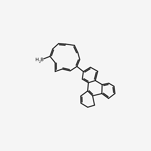 BC1=C/C=C\C=C/C=C(c2ccc3c(c2)c2c(c4ccccc43)CCC=C2)\C=C\C=C\1